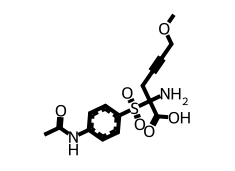 COCC#CCC(N)(C(=O)O)S(=O)(=O)c1ccc(NC(C)=O)cc1